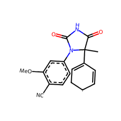 COc1cc(N2C(=O)NC(=O)C2(C)C2=CC[CH]C=C2)ccc1C#N